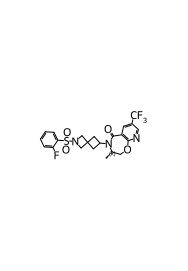 C[C@@H]1COc2ncc(C(F)(F)F)cc2C(=O)N1C1CC2(C1)CN(S(=O)(=O)c1ccccc1F)C2